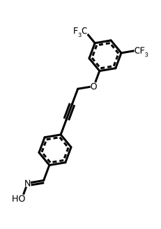 ON=Cc1ccc(C#CCOc2cc(C(F)(F)F)cc(C(F)(F)F)c2)cc1